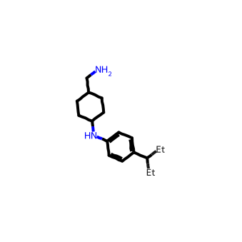 CCC(CC)c1ccc(NC2CCC(CN)CC2)cc1